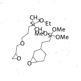 CCO[Si](C)(C)CCCOCC1CO1.CO[Si](CCC1CCC2OC2C1)(OC)OC